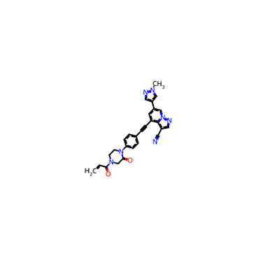 C=CC(=O)N1CCN(c2ccc(C#Cc3cc(-c4cnn(C)c4)cn4ncc(C#N)c34)cc2)C(=O)C1